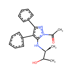 CC(=O)n1nc(-c2ccccc2)c(-c2ccccc2)c1N[C@@H](C)C(C)O